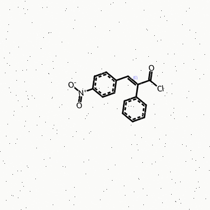 O=C(Cl)/C(=C/c1ccc([N+](=O)[O-])cc1)c1ccccc1